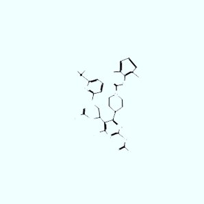 CC(=O)Nc1nc(C)c(C(COc2cccc(C(F)(F)F)n2)OC(C)=O)c(C2CCN(C(=O)Nc3c(F)cccc3F)CC2)n1